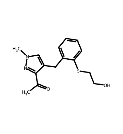 CC(=O)c1nn(C)cc1Cc1ccccc1SCCO